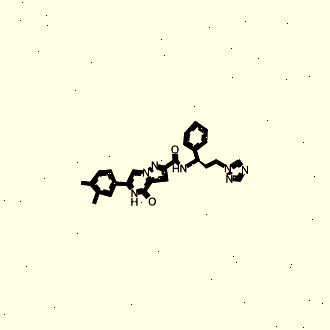 Cc1ccc(-c2cn3nc(C(=O)N[C@H](CCn4cncn4)c4ccccc4)cc3c(=O)[nH]2)cc1C